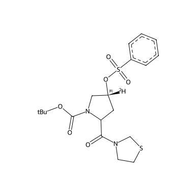 [2H][C@@]1(OS(=O)(=O)c2ccccc2)CC(C(=O)N2CCSC2)N(C(=O)OC(C)(C)C)C1